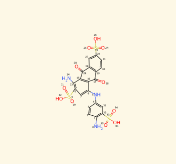 Nc1ccc(Nc2cc(S(=O)(=O)O)c(N)c3c2C(=O)c2ccc(S(=O)(=O)O)cc2C3=O)cc1S(=O)(=O)O